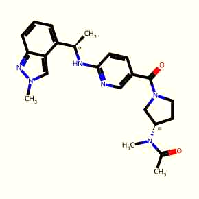 CC(=O)N(C)[C@H]1CCN(C(=O)c2ccc(N[C@H](C)c3cccc4nn(C)cc34)nc2)C1